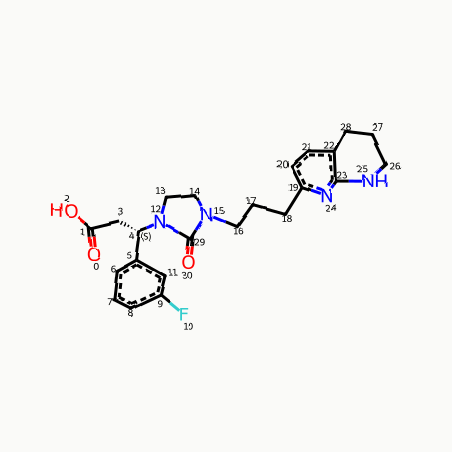 O=C(O)C[C@@H](c1cccc(F)c1)N1CCN(CCCc2ccc3c(n2)NCCC3)C1=O